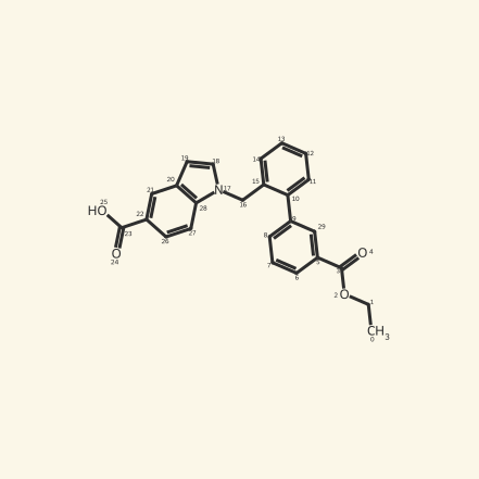 CCOC(=O)c1cccc(-c2ccccc2Cn2ccc3cc(C(=O)O)ccc32)c1